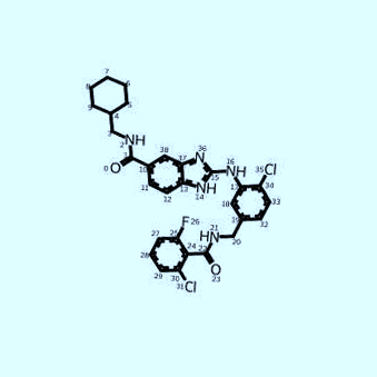 O=C(NCC1CCCCC1)c1ccc2[nH]c(Nc3cc(CNC(=O)c4c(F)cccc4Cl)ccc3Cl)nc2c1